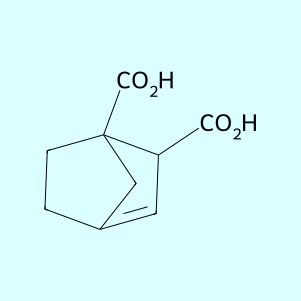 O=C(O)C1C=C2CCC1(C(=O)O)C2